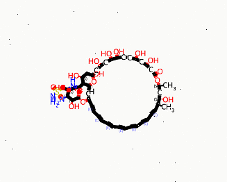 C[C@H]1C[C@H](O)[C@@H](C)/C=C/C=C/C=C/C=C/C=C/C=C/C=C/C(O[C@@H]2OC[C@@H](O)[C@H](N)[C@@H]2O)C[C@@H]2OC(O)(CC(O)CC(O)C(O)CCC(O)CC(O)CC(=O)O1)C[C@H](O)C2C(=O)NCCS(N)(=O)=O